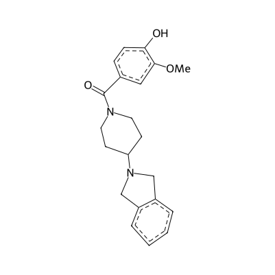 COc1cc(C(=O)N2CCC(N3Cc4ccccc4C3)CC2)ccc1O